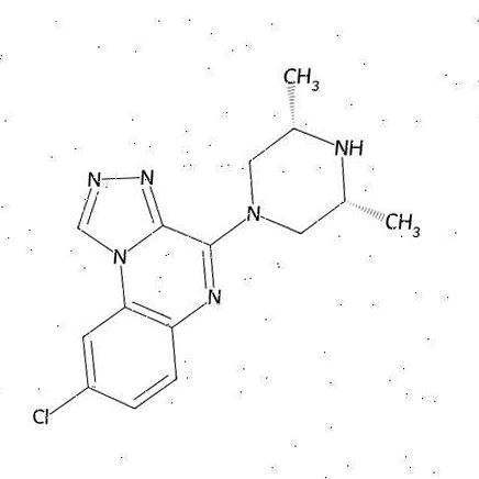 C[C@@H]1CN(c2nc3ccc(Cl)cc3n3cnnc23)C[C@H](C)N1